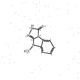 Cn1c2ccccc2n2c(=S)[nH]nc12